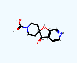 O=C(O)N1CCC2(CC1)Oc1cnccc1C2=O